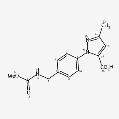 COC(=O)NCc1ccc(-n2nc(C)cc2C(=O)O)cc1